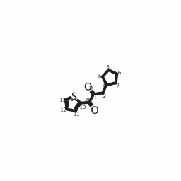 O=C(CC1CCCC1)C(=O)c1cccs1